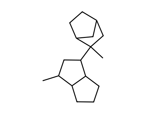 CC1CC(C2(C)CC3CCC2C3)C2CCCC12